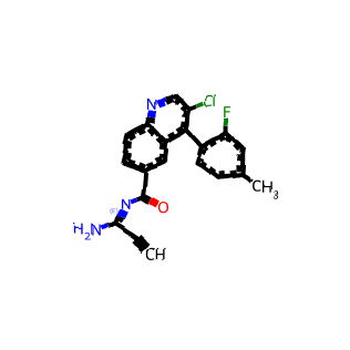 C#C/C(N)=N\C(=O)c1ccc2ncc(Cl)c(-c3ccc(C)cc3F)c2c1